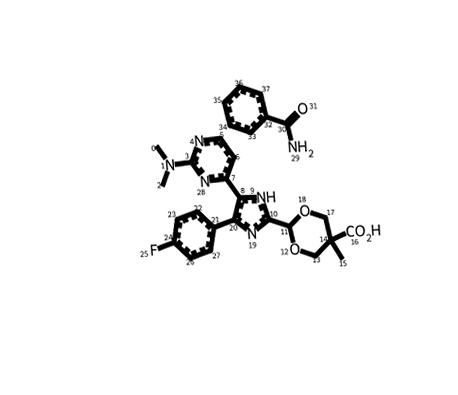 CN(C)c1nccc(-c2[nH]c(C3OCC(C)(C(=O)O)CO3)nc2-c2ccc(F)cc2)n1.NC(=O)c1ccccc1